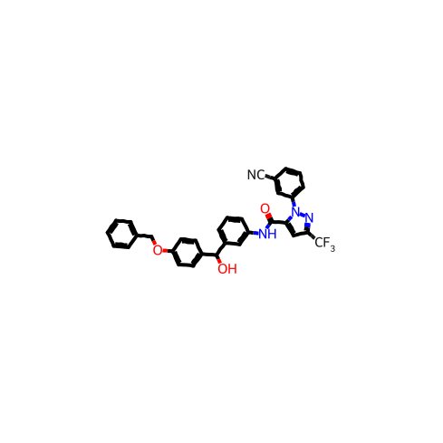 N#Cc1cccc(-n2nc(C(F)(F)F)cc2C(=O)Nc2cccc(C(O)c3ccc(OCc4ccccc4)cc3)c2)c1